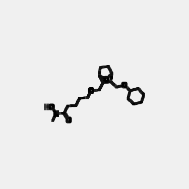 CN(O)C(=O)CCCCOCC1C2CCC(O2)C1COC1CCCCC1